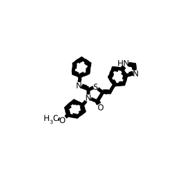 COc1ccc(N2C(=O)/C(=C/c3ccc4[nH]cnc4c3)S/C2=N\c2ccccc2)cc1